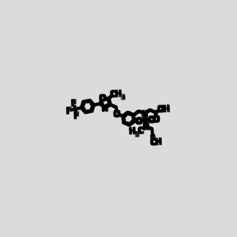 C#CCN(C)S(=O)(=O)N(CC(=O)O)Cc1cccc(OCc2nc(-c3ccc(C(F)(F)F)cc3)oc2C)c1